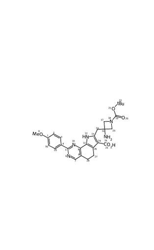 COc1ccc(-c2ncc3c(n2)-c2[nH]c(CC4(N)CN(C(=O)OC(C)(C)C)C4)c(C(=O)O)c2CC3)cc1